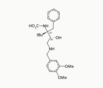 COc1ccc(CNC[C@@H](O)[C@@](Cc2ccccc2)(NC(=O)O)C(C)(C)C)cc1OC